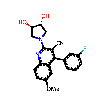 COc1ccc2nc(N3C[C@@H](O)[C@H](O)C3)c(C#N)c(-c3cccc(F)c3)c2c1